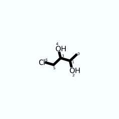 CC(O)C(O)CCl